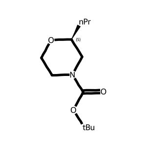 CCC[C@H]1CN(C(=O)OC(C)(C)C)CCO1